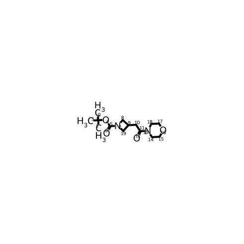 CC(C)(C)OC(=O)N1CC(CC(=O)N2CCOCC2)C1